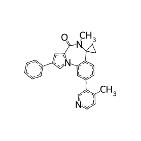 Cc1ccncc1-c1ccc2c(c1)-n1cc(-c3ccccc3)cc1C(=O)N(C)C21CC1